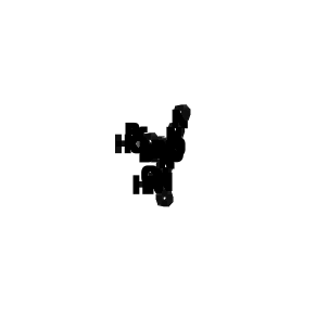 O=C(N[C@H](Cc1cc(Br)c(O)c(Br)c1)C(=O)N1CCC(N2CCCCC2)CC1)N1CCC(n2nc(-c3ccccc3)[nH]c2=O)CC1